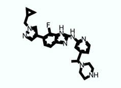 CC(c1ccnc(Nc2nc3ccc(-c4cnn(CC5CC5)c4)c(F)c3[nH]2)c1)N1CCNCC1